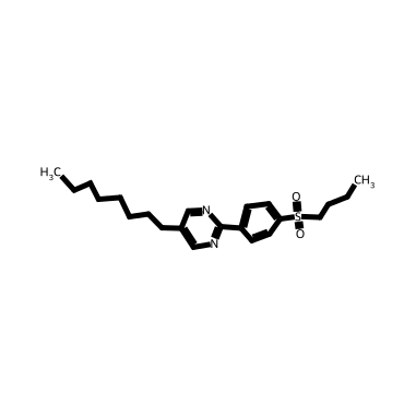 CCCCCCCCc1cnc(-c2ccc(S(=O)(=O)CCCC)cc2)nc1